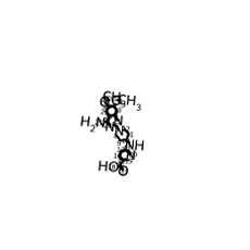 COc1cc2nc(N3CCC(Nc4ccc(C(=O)O)cn4)CC3)nc(N)c2cc1OC